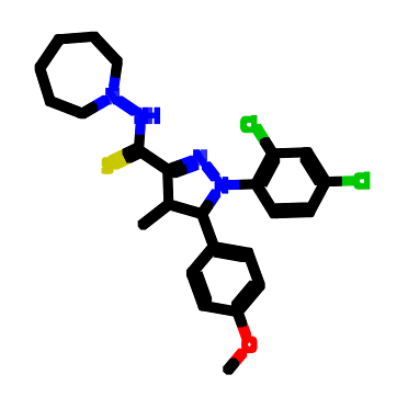 COc1ccc(C2C(C)C(C(=S)NN3CCCCCC3)=NN2c2ccc(Cl)cc2Cl)cc1